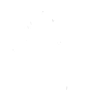 CCc1cc(S)cc2c1OC(C(F)(F)F)C(C(=O)O)=C2